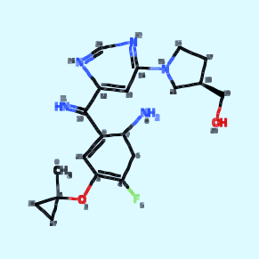 CC1(OC2=C(F)CC(N)C(C(=N)c3cc(N4CC[C@@H](CO)C4)ncn3)=C2)CC1